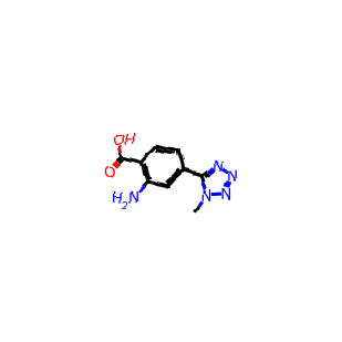 Cn1nnnc1-c1ccc(C(=O)O)c(N)c1